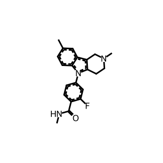 CNC(=O)c1ccc(-n2c3c(c4cc(C)ccc42)CN(C)CC3)cc1F